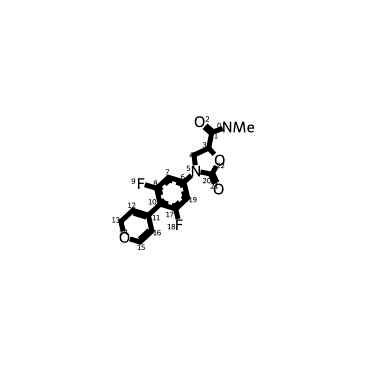 CNC(=O)C1CN(c2cc(F)c(C3=CCOC=C3)c(F)c2)C(=O)O1